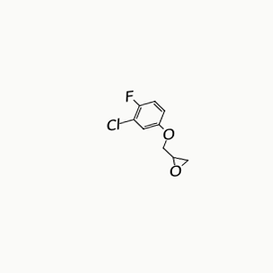 Fc1ccc(OCC2CO2)cc1Cl